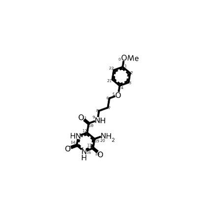 COc1ccc(OCCCNC(=O)c2[nH]c(=O)[nH]c(=O)c2N)cc1